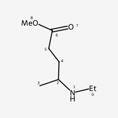 CCNC(C)CCC(=O)OC